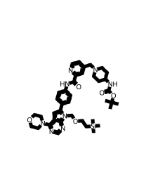 CC(C)(C)OC(=O)NC1CCN(Cc2ccnc(C(=O)Nc3ccc(-c4cc5c(N6CCOCC6)ncnc5n4COCC[Si](C)(C)C)cc3)c2)CC1